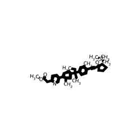 CCC(CC)(c1ccc(C#CC2(O[Si](C)(C)C)CCCC2)c(C)c1)c1ccc(-c2ccc(CC(=O)OC)nc2)c(C)c1